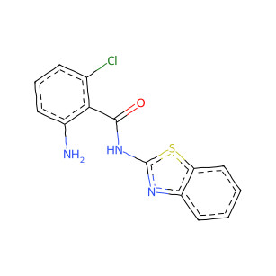 Nc1cccc(Cl)c1C(=O)Nc1nc2ccccc2s1